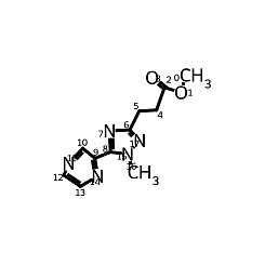 COC(=O)CCc1nc(-c2cnccn2)n(C)n1